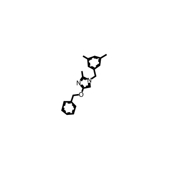 Cc1cc(C)cc(Cn2cc(OCc3ccccc3)nc2C)c1